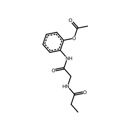 CCC(=O)NCC(=O)Nc1ccccc1OC(C)=O